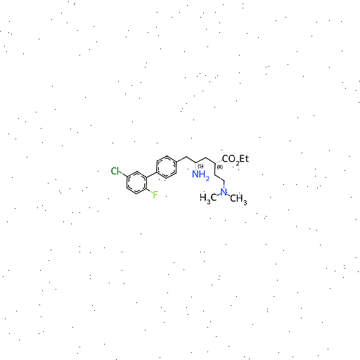 CCOC(=O)[C@H](CCN(C)C)C[C@H](N)Cc1ccc(-c2cc(Cl)ccc2F)cc1